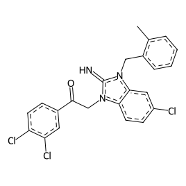 Cc1ccccc1Cn1c(=N)n(CC(=O)c2ccc(Cl)c(Cl)c2)c2ccc(Cl)cc21